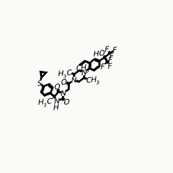 C/C=C\c1cc(C(O)(C(F)(F)F)C(F)(F)F)ccc1N1CC(C)N(C(=O)CN2C(=O)N[C@@](C)(c3ccc(SC4CC4)cc3)C2=O)CC1C